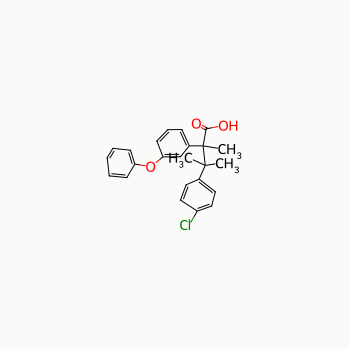 CC(C)(c1ccc(Cl)cc1)C(C)(C(=O)O)c1cccc(Oc2ccccc2)c1